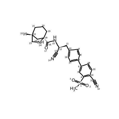 CS(=O)(=O)c1cc(-c2ccc(C[C@@H](C#N)NC(=O)[C@]34CCC[C@@H](CN3)C4)cc2)ccc1C#N